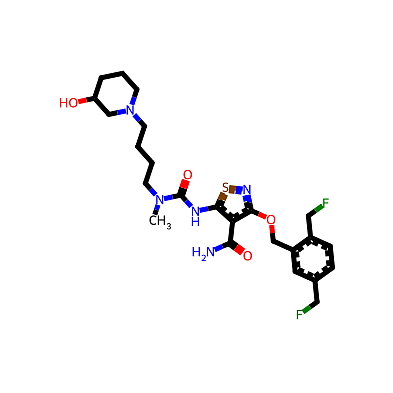 CN(CCCCN1CCCC(O)C1)C(=O)Nc1snc(OCc2cc(CF)ccc2CF)c1C(N)=O